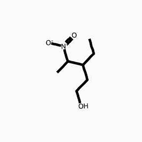 CCC(CCO)C(C)[N+](=O)[O-]